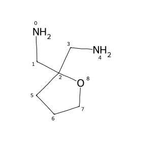 NCC1(CN)CCCO1